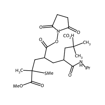 COC(=O)C(C)(CC(CC(CC(C)(C)C(=O)O)C(=O)NC(C)C)C(=O)ON1C(=O)CCC1=O)SC